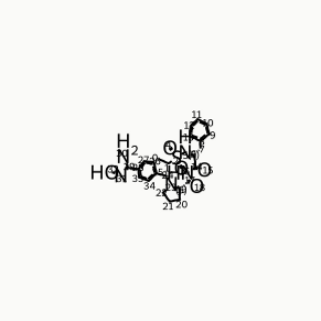 CCS(=O)(=O)N[C@H](Cc1ccccc1)C(=O)NC(=O)[C@@H]1CCCN1Cc1ccc(C(N)=NO)cc1